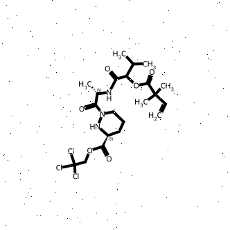 C=CC(C)(C)C(=O)OC(C(=O)N[C@@H](C)C(=O)N1CCC[C@@H](C(=O)OCC(Cl)(Cl)Cl)N1)C(C)C